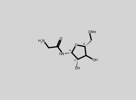 COC[C@H]1O[C@@H](NC(=O)CN)[C@@H](O)C1O